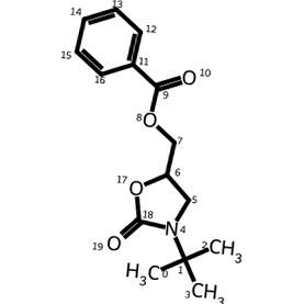 CC(C)(C)N1CC(COC(=O)c2ccccc2)OC1=O